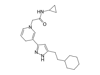 O=C(CN1C=CCC(c2cc(CCC3CCCCC3)[nH]n2)=C1)NC1CC1